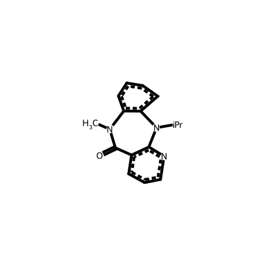 CC(C)N1c2ccccc2N(C)C(=O)c2cccnc21